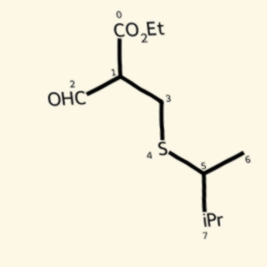 CCOC(=O)C(C=O)CSC(C)C(C)C